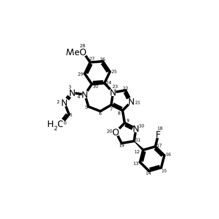 C=C/N=N\N1CCc2c(C3=N[C@@H](c4ccccc4F)CO3)ncn2-c2ccc(OC)cc21